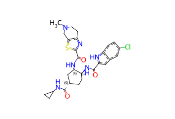 CN1CCc2nc(C(=O)N[C@@H]3C[C@@H](C(=O)NC4CC4)CC[C@@H]3NC(=O)c3cc4cc(Cl)ccc4[nH]3)sc2C1